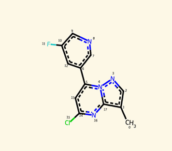 Cc1cnn2c(-c3cncc(F)c3)cc(Cl)nc12